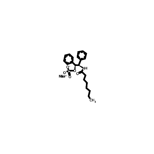 CCCCCCCC(=O)N[C@H](c1ccccc1)[C@@H](OP(=O)([O-])[O-])c1ccccc1.[Na+].[Na+]